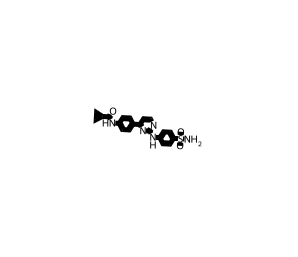 NS(=O)(=O)c1ccc(Nc2nccc(-c3ccc(NC(=O)C4CC4)cc3)n2)cc1